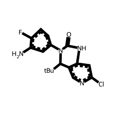 CC(C)(C)C1c2cnc(Cl)cc2NC(=O)N1c1ccc(F)c(N)c1